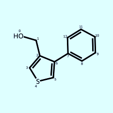 OCc1cscc1-c1ccccc1